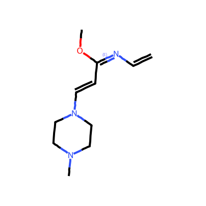 C=C/N=C(\C=CN1CCN(C)CC1)OC